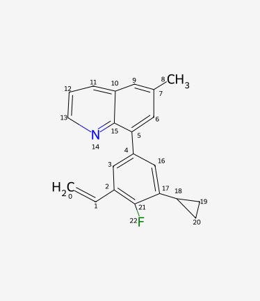 C=Cc1cc(-c2cc(C)cc3cccnc23)cc(C2CC2)c1F